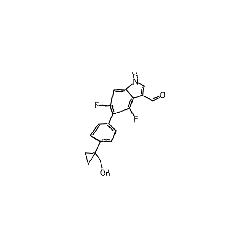 O=Cc1c[nH]c2cc(F)c(-c3ccc(C4(CO)CC4)cc3)c(F)c12